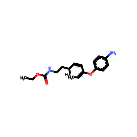 C/C=C(\C=C/C(C)CCNC(=O)OCC)Oc1ccc(N)cc1